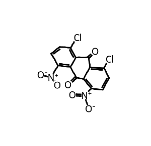 O=C1c2c(Cl)ccc([N+](=O)[O-])c2C(=O)c2c([N+](=O)[O-])ccc(Cl)c21